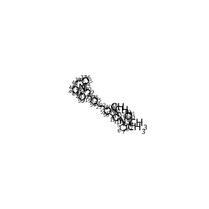 CC1(C)C2=C(CCC=C2)N(c2ccc3c(c2)C(C)(C)c2cc(/C=C/c4ccc(-c5ccc(N6c7ccccc7C=Cc7ccccc76)c6ccccc56)cc4)ccc2-3)c2ccccc21